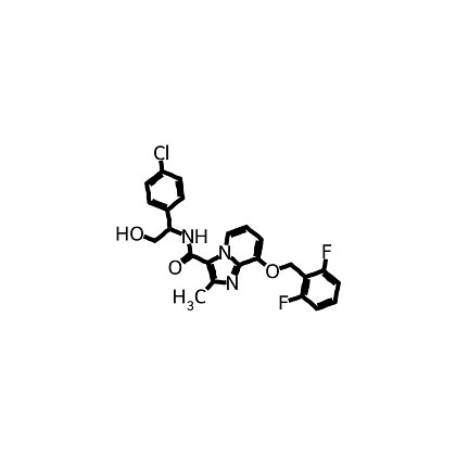 Cc1nc2c(OCc3c(F)cccc3F)cccn2c1C(=O)NC(CO)c1ccc(Cl)cc1